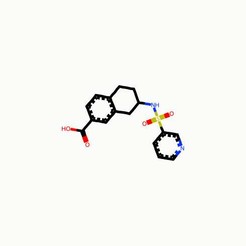 O=C(O)c1ccc2c(c1)CC(NS(=O)(=O)c1cccnc1)CC2